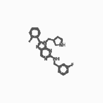 Cc1ccccc1-c1nc2cnc(NCc3cccc(F)c3)nc2n1CC1CCNC1